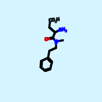 CN(CCc1ccccc1)C(=O)C(N)CC(=O)O